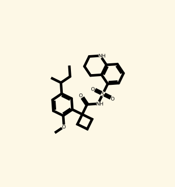 CCC(C)c1ccc(OC)c(C2(C(=O)NS(=O)(=O)c3cccc4c3CCCN4)CCC2)c1